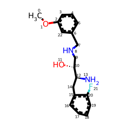 COc1cccc(CNC[C@@H](O)[C@@H](N)Cc2ccccc2F)c1